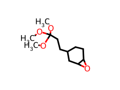 COC(CCC1CCC2OC2C1)(OC)OC